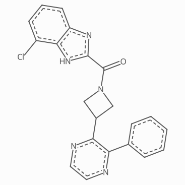 O=C(c1nc2cccc(Cl)c2[nH]1)N1CC(c2nccnc2-c2ccccc2)C1